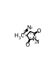 CC#N.O=C1CCC(=O)N1I